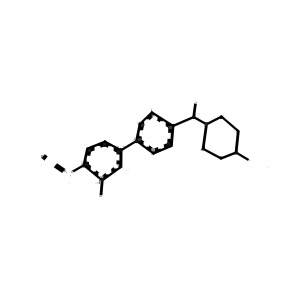 CC1CCC(C(C)c2ccc(-c3ccc(N=C=S)c(F)c3)cc2)CC1